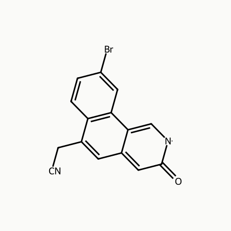 N#CCc1cc2c(c3cc(Br)ccc13)=C[N]C(=O)C=2